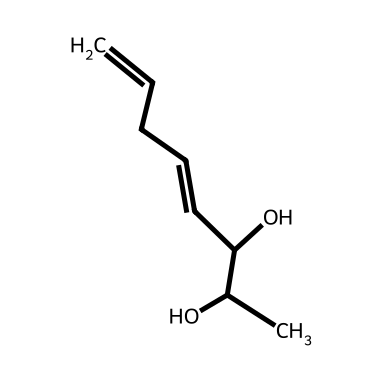 C=CCC=CC(O)C(C)O